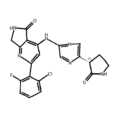 O=C1NCc2nc(-c3c(F)cccc3Cl)cc(Nc3cnc([C@@H]4CCNC4=O)cn3)c21